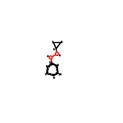 c1ccc(OOC2CC2)cc1